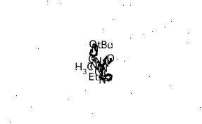 CCc1nc2ccccc2n1-c1nc(N2CCOCC2)c2nc(OC3CCN(C(=O)C(C)(C)C)CC3)n(C)c2n1